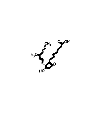 CCCCC(C)C=CC[C@H]1[C@H](O)CC(=O)[C@@H]1CCCCCCC(=O)O